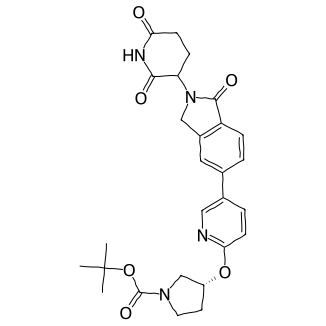 CC(C)(C)OC(=O)N1CC[C@@H](Oc2ccc(-c3ccc4c(c3)CN(C3CCC(=O)NC3=O)C4=O)cn2)C1